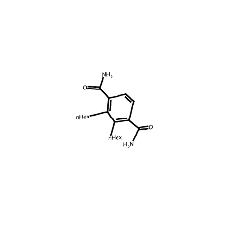 CCCCCCc1c(C(N)=O)ccc(C(N)=O)c1CCCCCC